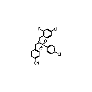 N#Cc1ccc(CN(Cc2ccc(Cl)cc2F)S(=O)(=O)c2ccc(Cl)cc2)cc1